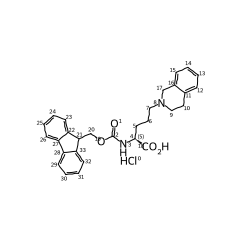 Cl.O=C(N[C@@H](CCCN1CCc2ccccc2C1)C(=O)O)OCC1c2ccccc2-c2ccccc21